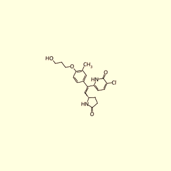 Cc1cc(C(=C[C@H]2CCC(=O)N2)c2ccc(Cl)c(=O)[nH]2)ccc1OCCCO